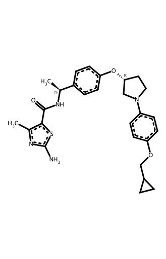 Cc1nc(N)sc1C(=O)N[C@@H](C)c1ccc(O[C@@H]2CCN(c3ccc(OCC4CC4)cc3)C2)cc1